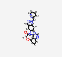 C[C@H]1Oc2cccc3ncnc(c23)N(c2ccc3c(cnn3Cc3ccccn3)c2)C1=O